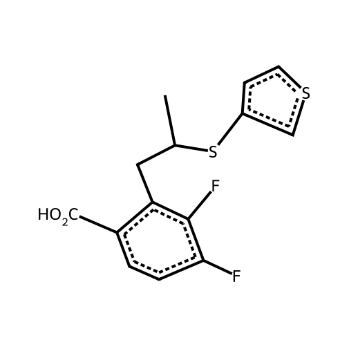 CC(Cc1c(C(=O)O)ccc(F)c1F)Sc1ccsc1